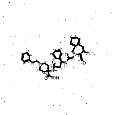 NC1Cc2ccccc2CN(CC(=O)NC(CC(=O)NC2(C(=O)O)CCN(CCc3ccccc3)CC2)c2ccccc2)C1=C=O